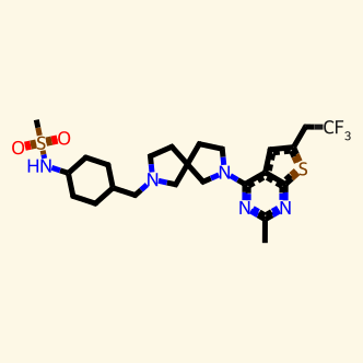 Cc1nc(N2CCC3(CCN(CC4CCC(NS(C)(=O)=O)CC4)C3)C2)c2cc(CC(F)(F)F)sc2n1